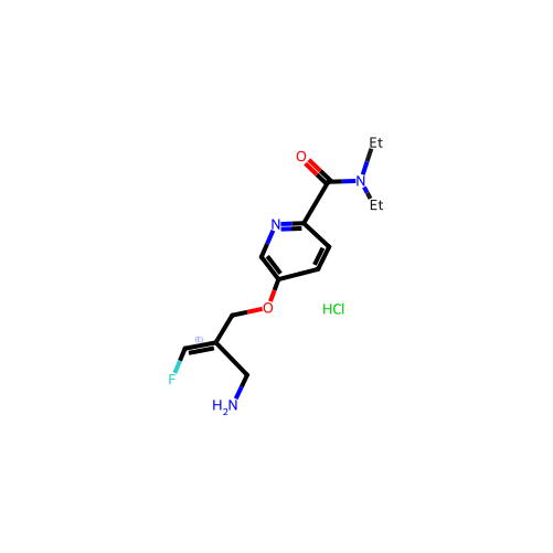 CCN(CC)C(=O)c1ccc(OC/C(=C/F)CN)cn1.Cl